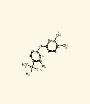 CC(C)(C)c1ccc(Oc2ccc(O)c(O)c2)cc1Br